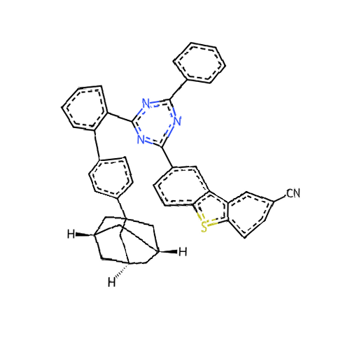 N#Cc1ccc2sc3ccc(-c4nc(-c5ccccc5)nc(-c5ccccc5-c5ccc(C67C[C@H]8C[C@@H](C6)C[C@@H](C7)C8)cc5)n4)cc3c2c1